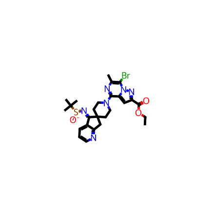 CCOC(=O)c1cc2c(N3CCC4(CC3)Cc3ncccc3/C4=N\[S@+]([O-])C(C)(C)C)nc(C)c(Br)n2n1